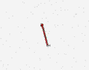 C[Si](C)(C)O[Si](C)(CCCOCCOCCOCCOCCOCCOCCOCCOCCOCCOCCOCCOCCO)O[Si](C)(C)C